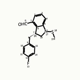 O=Cc1cccc2c1[C@@H](Cc1ccc(F)cc1)CN2SI